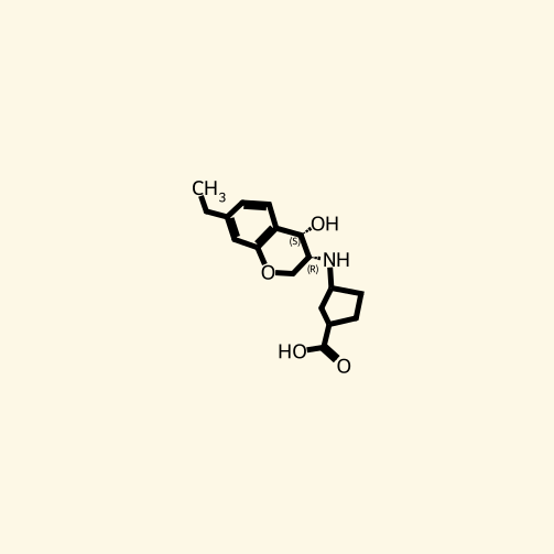 CCc1ccc2c(c1)OC[C@@H](NC1CCC(C(=O)O)C1)[C@H]2O